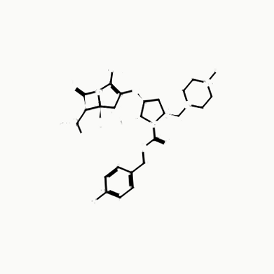 C[C@@H](O)[C@H]1C(=O)N2C(C(=O)O)=C(S[C@H]3C[C@@H](CN4CCN(C)CC4)N(C(=O)OCc4ccc([N+](=O)[O-])cc4)C3)[C@H](C)[C@H]12